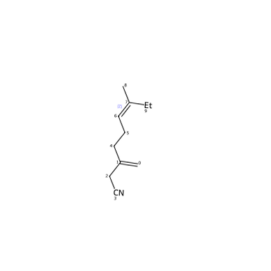 C=C(CC#N)CC/C=C(/C)CC